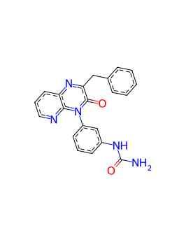 NC(=O)Nc1cccc(-n2c(=O)c(Cc3ccccc3)nc3cccnc32)c1